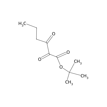 CCCC(=O)C(=O)C(=O)OC(C)(C)C